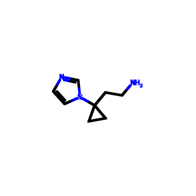 NCCC1(n2ccnc2)CC1